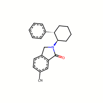 N#Cc1ccc2c(c1)C(=O)N([C@@H]1CCCC[C@H]1c1ccccc1)C2